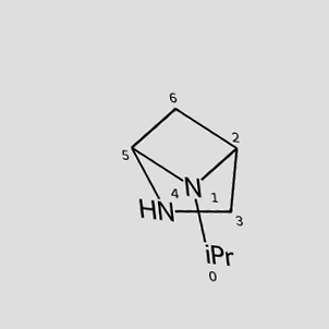 CC(C)N1C2CNC1C2